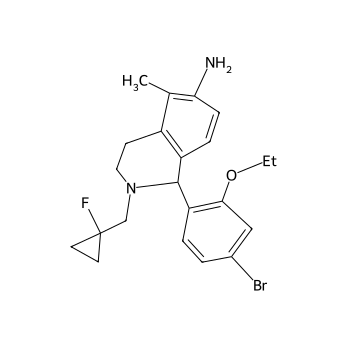 CCOc1cc(Br)ccc1C1c2ccc(N)c(C)c2CCN1CC1(F)CC1